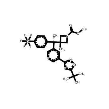 CC(C)(C)OC(=O)N1CC(C)([C@](O)(c2ccc(S(F)(F)(F)(F)F)cc2)c2cncc(-c3noc(C(C)(C)O)n3)c2)C1